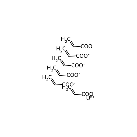 C=CC(=O)[O-].C=CC(=O)[O-].C=CC(=O)[O-].C=CC(=O)[O-].C=CC(=O)[O-].C=CC(=O)[O-].[U+6]